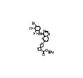 CC(C)(C)OC(=O)N1CCC12CN(c1ccc3ncnc(Nc4ccc(Br)c(Cl)c4F)c3n1)C2